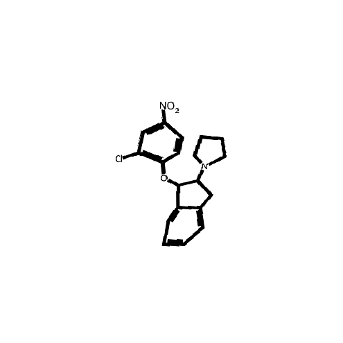 O=[N+]([O-])c1ccc(OC2c3ccccc3CC2N2CCCC2)c(Cl)c1